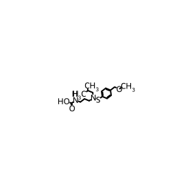 COCc1ccc(SN(CCCNC(=O)O)CC(C)C)cc1